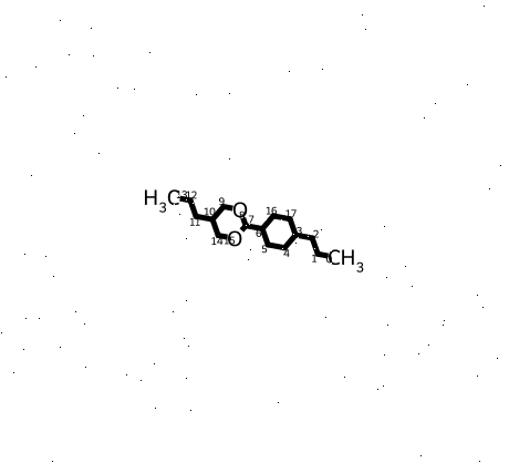 CCCC1CCC(C2OCC(CCC)CO2)CC1